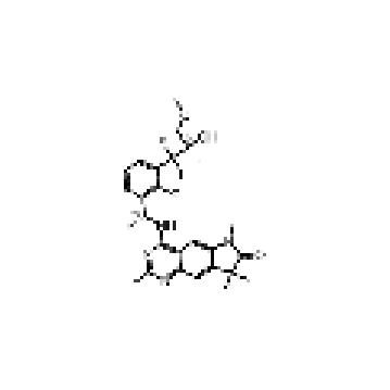 COC[C@@](C)(O)C(F)(F)c1cccc([C@@H](C)Nc2nc(C)nc3cc4c(cc23)N(C)C(=O)C4(C)C)c1F